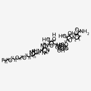 NC(=O)c1ccc[n+]([C@@H]2O[C@H](COP(=O)(O)OP(=O)(O)OC[C@H]3O[C@@H](n4cnc5c(NCc6cn(CCOCCOCCOCCF)nn6)ncnc54)[C@H](O)[C@@H]3O)[C@@H](O)[C@H]2O)c1